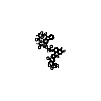 CC[C@@]1(O)C(=O)OCc2c1cc1n(c2=O)Cc2c-1nc1cc(F)c(C)c3c1c2[C@@H](NC(=O)COCNC(=O)[C@H](C)NC(=O)[C@@H](OC(=O)N(C)C1c2ccccc2-c2ccccc21)C(C)C)CC3